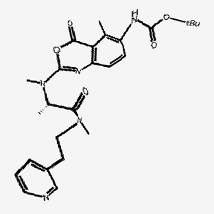 Cc1c(NC(=O)OC(C)(C)C)ccc2nc(N(C)[C@@H](C)C(=O)N(C)CCc3cccnc3)oc(=O)c12